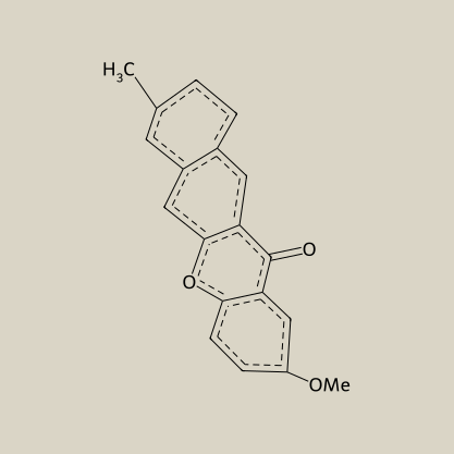 COc1ccc2oc3cc4cc(C)ccc4cc3c(=O)c2c1